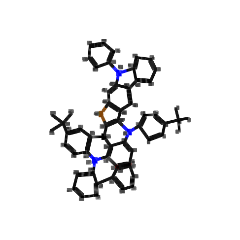 CC(C)(C)c1ccc(N2c3cccc4c3B(c3cc(C(C)(C)C)ccc3N4c3ccccc3-c3ccccc3)c3sc4cc5c(cc4c32)c2ccccc2n5-c2ccccc2)cc1